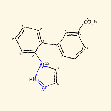 O=C(O)c1cccc(-c2ccccc2-n2ccnn2)c1